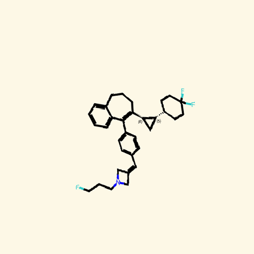 FCCCN1CC(=Cc2ccc(C3=C([C@@H]4C[C@H]4C4CCC(F)(F)CC4)CCCc4ccccc43)cc2)C1